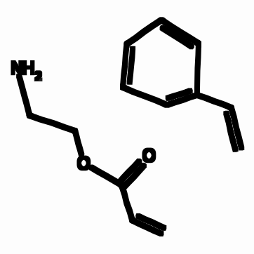 C=CC(=O)OCCN.C=Cc1ccccc1